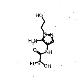 [CH2]C[C@H](O)C(=O)Nc1cnn(CCO)c1N